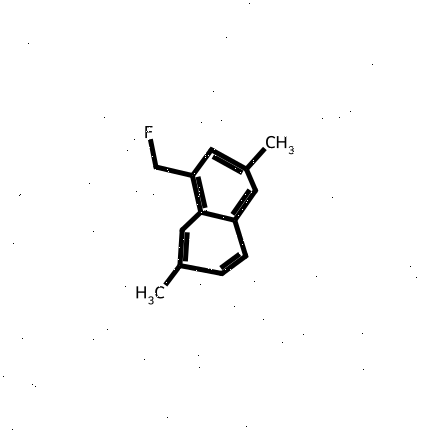 Cc1cc(CF)c2cc(C)ccc2c1